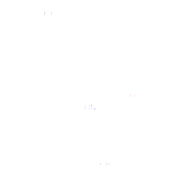 CC(C)Cc1cccc(C(=O)NCCC(=O)O)c1